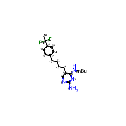 CCCCNc1nc(N)ncc1CCCCc1ccc(C(C)(F)F)cc1